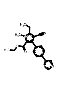 CCOC(=O)c1c(-c2ccc(-c3cnco3)cc2)c(C#N)c(CC)n1C